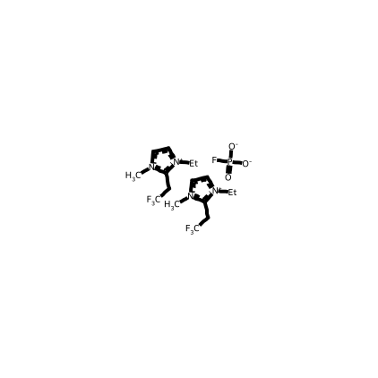 CC[n+]1ccn(C)c1CC(F)(F)F.CC[n+]1ccn(C)c1CC(F)(F)F.O=P([O-])([O-])F